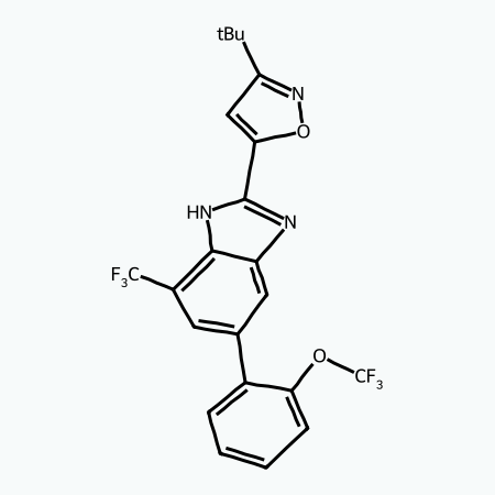 CC(C)(C)c1cc(-c2nc3cc(-c4ccccc4OC(F)(F)F)cc(C(F)(F)F)c3[nH]2)on1